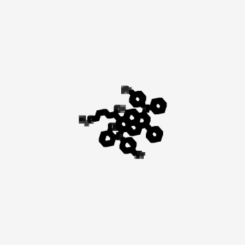 C=C/C=C\C=C(/C)c1cc(N(C2C=CC(C(C)C)=CC2)C2C=CC=CC2C)c2ccc3c(-c4ccccc4)cc(N(c4ccccc4)c4ccc(C(C)C)cc4)c4ccc1c2c34